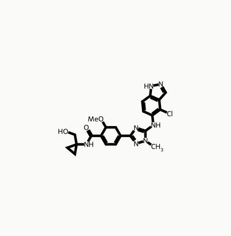 COC1CC(c2nc(Nc3ccc4[nH]ncc4c3Cl)n(C)n2)=CC=C1C(=O)NC1(CO)CC1